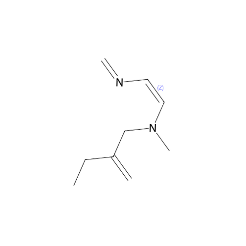 C=N/C=C\N(C)CC(=C)CC